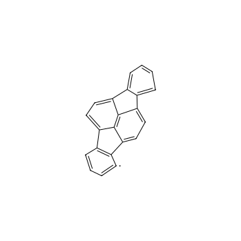 [c]1cccc2c1-c1ccc3c4c(ccc-2c14)-c1ccccc1-3